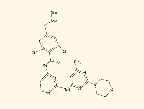 Cc1cc(Nc2cc(NC(=O)c3c(Cl)cc(CNC(C)(C)C)cc3Cl)ccn2)nc(N2CCOCC2)n1